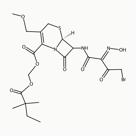 CCC(C)(C)C(=O)OCOC(=O)C1=C(COC)CS[C@H]2C(NC(=O)C(=NO)C(=O)CBr)C(=O)N12